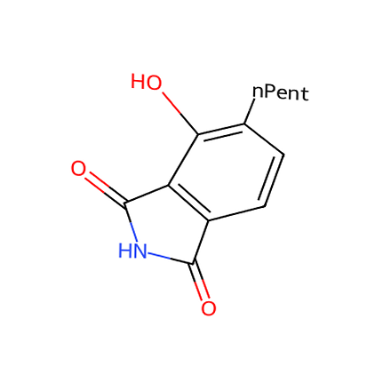 CCCCCc1ccc2c(c1O)C(=O)NC2=O